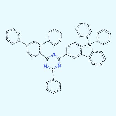 c1ccc(-c2ccc(-c3nc(-c4ccccc4)nc(-c4ccc5c(c4)-c4ccccc4[Si]5(c4ccccc4)c4ccccc4)n3)c(-c3ccccc3)c2)cc1